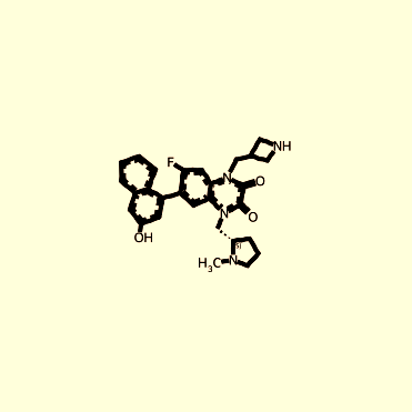 CN1CCC[C@H]1Cn1c(=O)c(=O)n(CC2CNC2)c2cc(F)c(-c3cc(O)cc4ccccc34)cc21